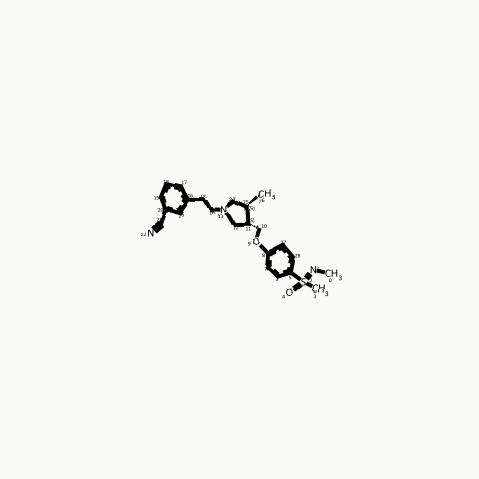 CN=S(C)(=O)c1ccc(OC[C@@H]2CN(CCc3cccc(C#N)c3)C[C@H]2C)cc1